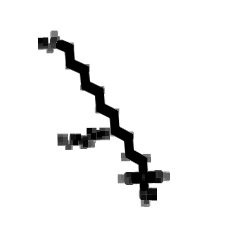 CCCCCCCCCCCCS(=O)(=O)O.[MgH2].[NaH]